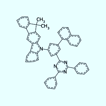 CC1(C)c2ccccc2-c2cc3c4ccccc4n(-c4cc(-c5nc(-c6ccccc6)nc(-c6ccccc6)n5)cc(-c5cccc6ccccc56)c4)c3cc21